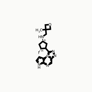 CC1(CN[C@@H]2CC(c3nnc4cnc5[nH]ccc5n34)[C@H](I)C2)COC1